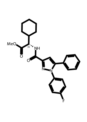 COC(=O)[C@@H](NC(=O)c1cc(-c2ccccc2)n(-c2ccc(F)cc2)n1)C1CCCCC1